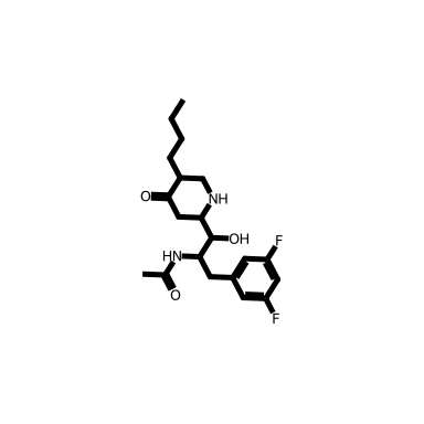 CCCCC1CNC(C(O)C(Cc2cc(F)cc(F)c2)NC(C)=O)CC1=O